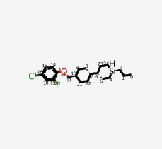 CCC[Si@H]1CC[C@H]([C@H]2CC[C@H](COc3ccc(Cl)cc3F)CC2)CC1